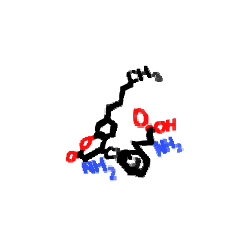 CCCCCc1ccc2c(C)c(N)c(=O)oc2c1.NC(Cc1ccccc1)C(=O)O